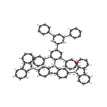 c1ccc(-c2cc(-c3ccccc3)nc(-c3cc(-c4ccccc4)c(-n4c5cc(-n6c7ccccc7c7ccccc76)ccc5c5ccc(-n6c7ccccc7c7ccccc76)cc54)c(-c4ccccc4)c3)n2)cc1